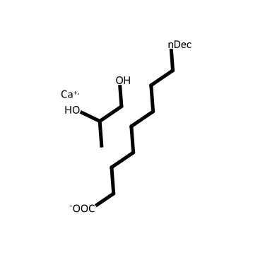 CC(O)CO.CCCCCCCCCCCCCCCCCC(=O)[O-].[Ca+]